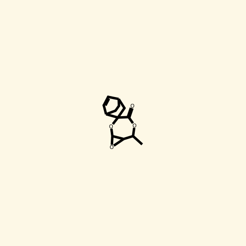 CC1OC(=O)C2(CC3C=CC2CC3)OC2OC12